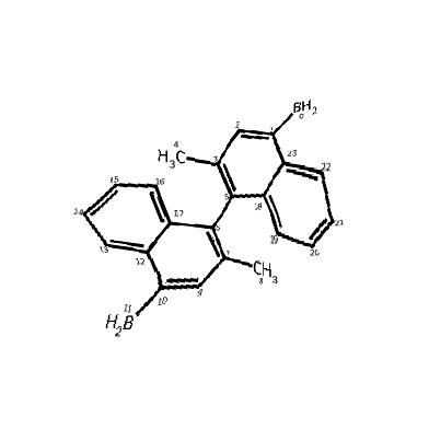 Bc1cc(C)c(-c2c(C)cc(B)c3ccccc23)c2ccccc12